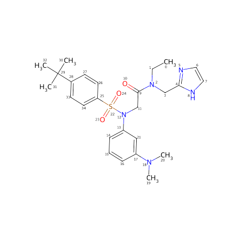 CCN(Cc1ncc[nH]1)C(=O)CN(c1cccc(N(C)C)c1)S(=O)(=O)c1ccc(C(C)(C)C)cc1